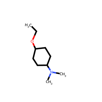 CCOC1CCC(N(C)C)CC1